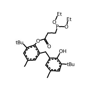 CCOP(CCC(=O)Oc1c(Cc2cc(C)cc(C(C)(C)C)c2O)cc(C)cc1C(C)(C)C)OCC